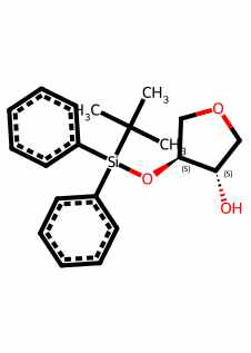 CC(C)(C)[Si](O[C@H]1COC[C@@H]1O)(c1ccccc1)c1ccccc1